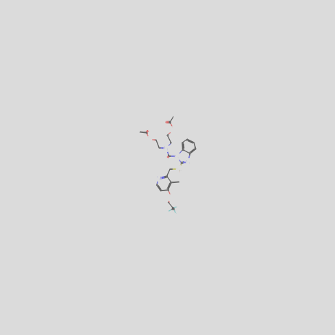 CC(=O)OCCN(CCOC(C)=O)C(=O)n1c([S@+]([O-])Cc2nccc(OCC(F)(F)F)c2C)nc2ccccc21